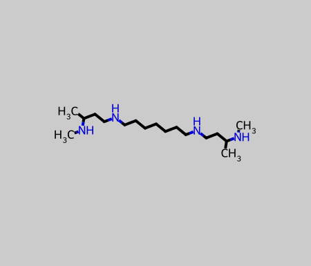 CNC(C)CCNCCCCCCCNCCC(C)NC